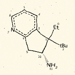 CCC1(C(C)(C)C)c2cccnc2C[C@H]1N